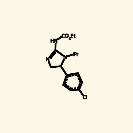 CCOC(=O)NC1=NCC(c2ccc(Cl)cc2)N1C(C)C